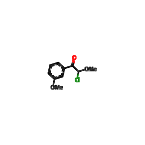 COc1cccc(C(=O)C(Cl)OC)c1